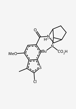 COc1cc(C(=O)N2CC3CCC2[C@@H]3N(C(=O)O)C(C)(C)C)cc2sc(Cl)c(C)c12